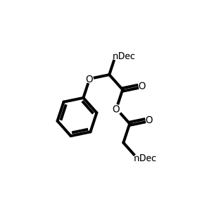 CCCCCCCCCCCC(=O)OC(=O)C(CCCCCCCCCC)Oc1ccccc1